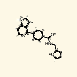 O=C(NCc1ccco1)c1ccc(-c2nccc3[nH]ccc23)cc1